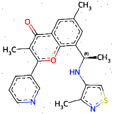 Cc1cc([C@@H](C)Nc2csnc2C)c2oc(-c3cccnc3)c(C)c(=O)c2c1